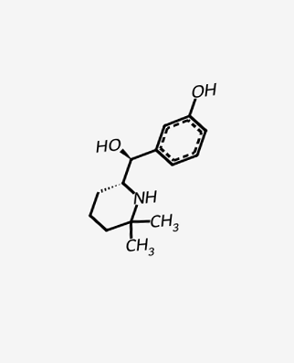 CC1(C)CCC[C@H]([C@@H](O)c2cccc(O)c2)N1